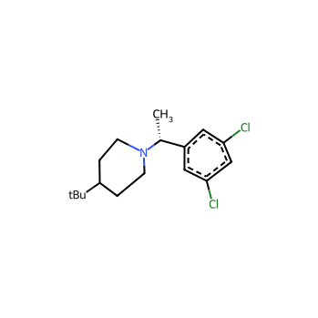 C[C@H](c1cc(Cl)cc(Cl)c1)N1CCC(C(C)(C)C)CC1